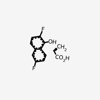 C=CC(=O)O.Oc1c(F)ccc2cc(F)ccc12